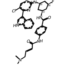 CN(C)CC=CC(=O)Nc1ccc(C(=O)N[C@@H]2C[C@H](F)C[C@H](Nc3ncc(Cl)c(-c4c[nH]c5ccccc45)n3)C2)cc1